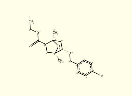 CCOC(=O)C1C[C@@]2(C)O[C@]1(C)C[C@@H]2OCc1ccc(F)cc1